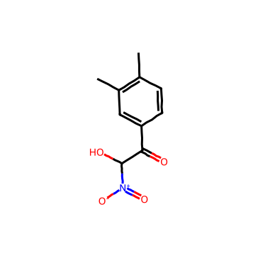 Cc1ccc(C(=O)C(O)[N+](=O)[O-])cc1C